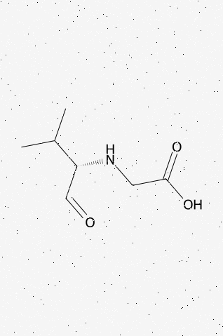 CC(C)[C@@H](C=O)NCC(=O)O